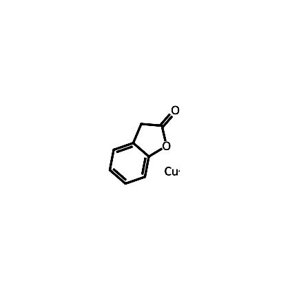 O=C1Cc2ccccc2O1.[Cu]